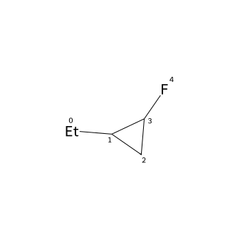 [CH2]CC1CC1F